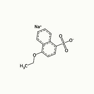 CCOc1ccc(S(=O)(=O)[O-])c2ccccc12.[Na+]